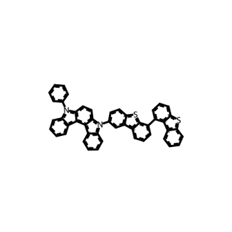 c1ccc(-n2c3ccccc3c3c4c5ccccc5n(-c5ccc6sc7c(-c8cccc9sc%10ccccc%10c89)cccc7c6c5)c4ccc32)cc1